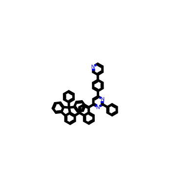 c1ccc(-c2nc(-c3ccc(-c4cccnc4)cc3)cc(-c3ccc(-c4cccc5c4C(c4ccccc4)(c4ccccc4)c4ccccc4-5)c4ccccc34)n2)cc1